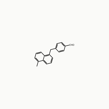 Cc1cccc2c(Cc3ccc(C=O)cc3)cccc12